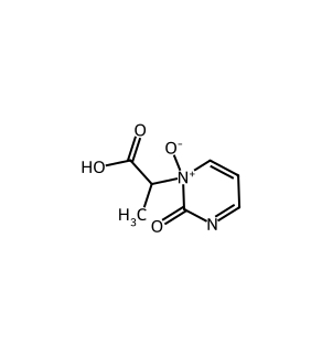 CC(C(=O)O)[N+]1([O-])C=CC=NC1=O